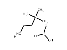 C[N+](C)(C)CCO.[H+].[O-]P([O-])O